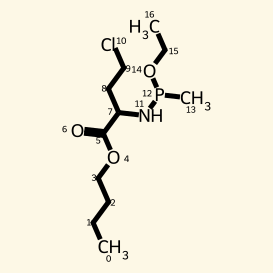 CCCCOC(=O)C(CCCl)NP(C)OCC